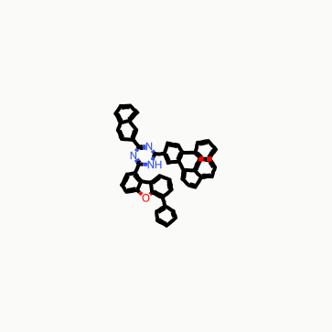 c1ccc(-c2ccc(C3N=C(c4ccc5ccccc5c4)N=C(c4cccc5oc6c(-c7ccccc7)cccc6c45)N3)cc2-c2cccc3ccccc23)cc1